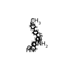 CCN1CC=C(c2ccc(-c3cc(-c4ccc5c(c4)CCNC5=O)c(N)nc3F)cc2)CC1